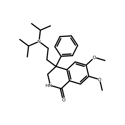 COc1cc2c(cc1OC)C(CCN(C(C)C)C(C)C)(c1ccccc1)CNC2=O